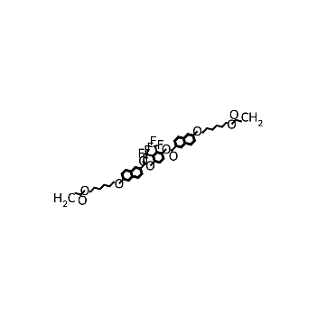 C=CC(=O)OCCCCCCOc1ccc2cc(C(=O)Oc3ccc(OC(=O)c4ccc5cc(OCCCCCCOC(=O)C=C)ccc5c4)c(C(F)(F)F)c3C(F)(F)F)ccc2c1